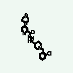 CN1CCN(c2ccnc(C(=O)NN=CC3CCN(Cc4ccccc4Cl)CC3)c2)CC1